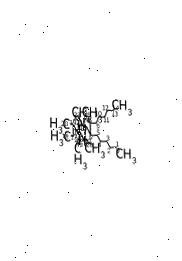 CCCCCCCN(CCCCCCC)[PH](N(CC)CC)(N(CC)CC)N(CC)CC